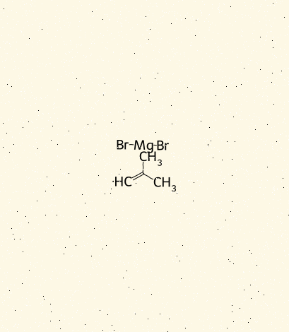 [Br][Mg][Br].[CH]=C(C)C